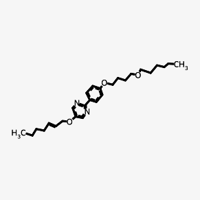 CCCCC=CCOc1cnc(-c2ccc(OCCCCOCCCCCC)cc2)nc1